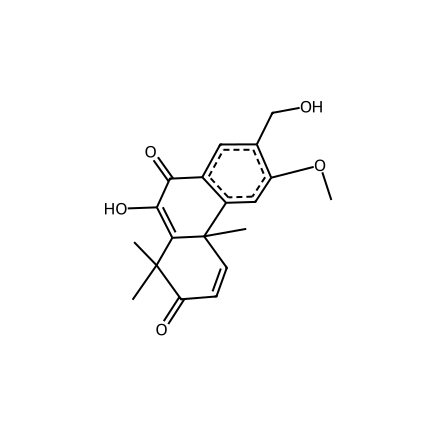 COc1cc2c(cc1CO)C(=O)C(O)=C1C(C)(C)C(=O)C=CC12C